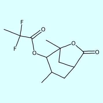 CC1CC2CC(C)(OC2=O)C1OC(=O)C(C)(F)F